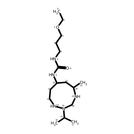 CCOCCCNC(=O)NC1CCNN(C(C)C)CNC(C)C1